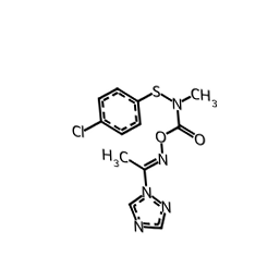 CC(=NOC(=O)N(C)Sc1ccc(Cl)cc1)n1cncn1